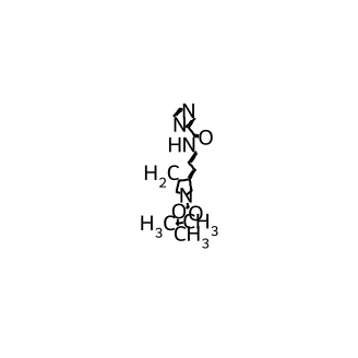 C=C1CN(C(=O)OC(C)(C)C)C/C1=C/C=C/NC(=O)c1cnccn1